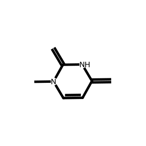 C=C1C=CN(C)C(=C)N1